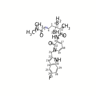 BC(B)(C/C=C/C(=O)N(C)C)C(C)C(=O)Nc1cccn(Cc2cc3cc(F)ccc3[nH]2)c1=O